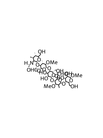 COC1[C@H](O[C@H]2C(O)C(O)[C@@H](O[C@H]3C(OC)C(C)[C@H](O[C@@H]4C(CO)O[C@H](OC)C(O)[C@H]4O)O[C@H]3OC=O)O[C@H]2CO)OC(OC=O)[C@@H](O[C@H]2OC(CO)[C@@H](C)[C@H](C)C2N)[C@@H]1C